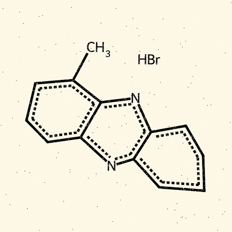 Br.Cc1cccc2nc3ccccc3nc12